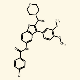 COc1ccc(-c2c(C(=O)N3CCOCC3)sc3ccc(NC(=O)c4ccc(Cl)cc4)cc23)cc1OC